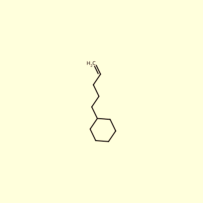 C=CCCCC1CCCCC1